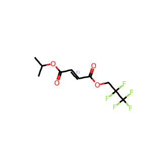 CC(C)OC(=O)/C=C/C(=O)OCC(F)(F)C(F)(F)F